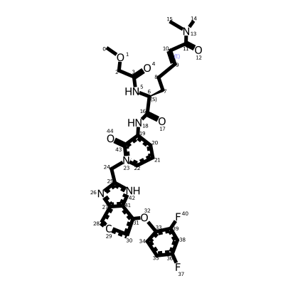 COCC(=O)N[C@@H](CC/C=C/C(=O)N(C)C)C(=O)Nc1cccn(Cc2nc3cccc(Oc4ccc(F)cc4F)c3[nH]2)c1=O